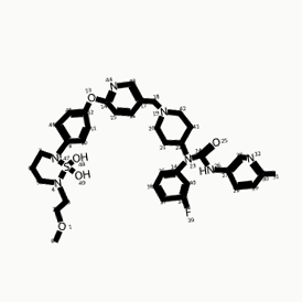 COCCN1CCCN(c2ccc(Oc3ccc(CN4CCC(N(C(=O)Nc5ccc(C)nc5)c5cccc(F)c5)CC4)cn3)cc2)S1(O)O